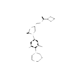 O=C(NC[C@H]1CN(c2cc(F)c(N3CCCSCC3)c(F)c2)C(=O)O1)C1CCC1